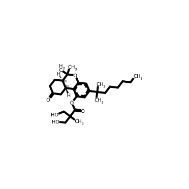 CCCCCCC(C)(C)c1cc(OC(=O)C(C)(CO)CO)c2c(c1)OC(C)(C)[C@@H]1CCC(=O)C[C@@H]21